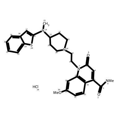 CNC(=O)c1cc(=O)n(CCN2CCC(N(C)c3cc4ccccc4s3)CC2)c2cc(OC)ccc12.Cl